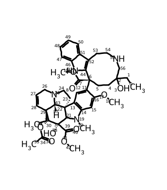 CCC1(O)CC[C@](C(=O)OC)(c2cc3c(cc2OC)N(C)C2[C@]34CCN3CC=C[C@@](CC)([C@@H](OC(C)=O)[C@]2(O)C(=O)OC)[C@H]34)c2[nH]c3ccccc3c2CCNC1